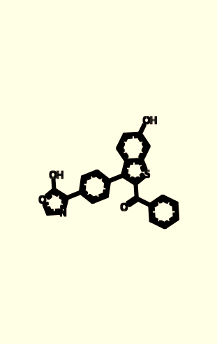 O=C(c1ccccc1)c1sc2cc(O)ccc2c1-c1ccc(-c2ncoc2O)cc1